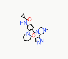 CN1CCN(C(=O)c2ccc(NC(=O)C3CC3)cc2N2CCCCCC2)C(c2ccn(C)n2)C1